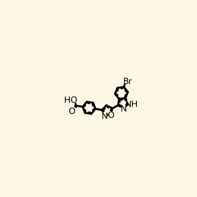 O=C(O)c1ccc(-c2cc(-c3n[nH]c4cc(Br)ccc34)on2)cc1